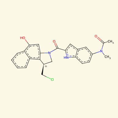 CC(=O)N(C)c1ccc2[nH]c(C(=O)N3C[C@@H](CCl)c4c3cc(O)c3ccccc43)cc2c1